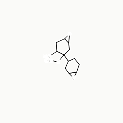 CC1CC2OC2CC1(OC=O)C1CCC2OC2C1